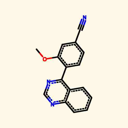 COc1cc(C#N)ccc1-c1ncnc2ccccc12